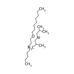 CC(C)[CH2][Al][CH2]C(C)C.CCCCCCCCOCCCCCCCC